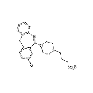 CCOC(=O)CCCN1CCN(C2=Nc3ccccc3Sc3ccc(Cl)cc32)CC1